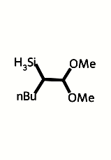 [CH2]CCCC([SiH3])C(OC)OC